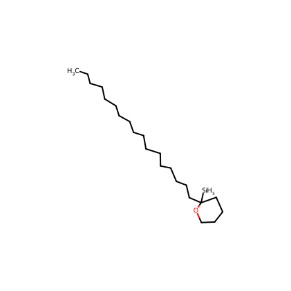 CCCCCCCCCCCCCCCCCC1([SiH3])CCCCO1